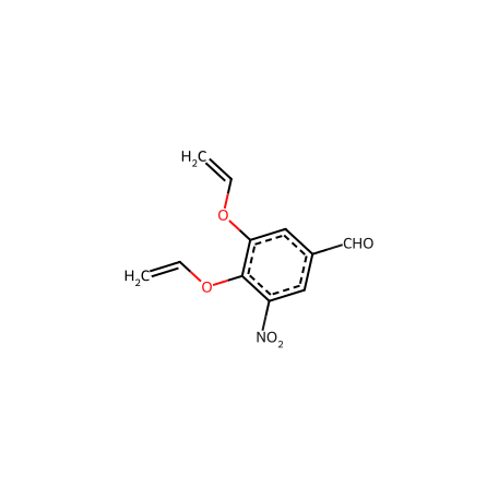 C=COc1cc(C=O)cc([N+](=O)[O-])c1OC=C